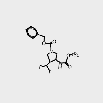 CC(C)(C)OC(=O)NC1CN(C(=O)OCc2ccccc2)CC1C(F)F